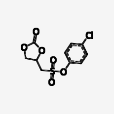 O=C1OCC(CS(=O)(=O)Oc2ccc(Cl)cc2)O1